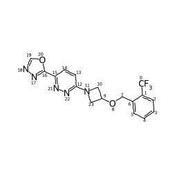 FC(F)(F)c1ccccc1COC1CN(c2ccc(-c3nnco3)nn2)C1